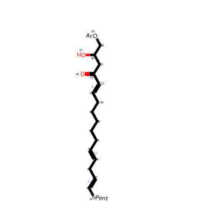 CCCCC/C=C/C/C=C/CCCCC/C=C/C(=O)CC(O)COC(C)=O